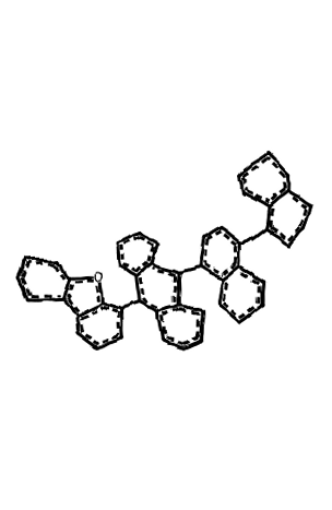 c1ccc2c(-c3ccc(-c4c5ccccc5c(-c5cccc6c5oc5ccccc56)c5ccccc45)c4ccccc34)cccc2c1